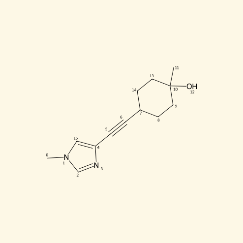 Cn1cnc(C#CC2CCC(C)(O)CC2)c1